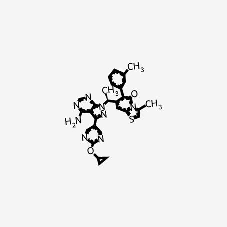 Cc1cccc(-c2c([C@H](C)n3nc(-c4cnc(OC5CC5)nc4)c4c(N)ncnc43)cc3scc(C)n3c2=O)c1